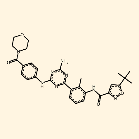 Cc1c(NC(=O)c2cc(C(C)(C)C)on2)cccc1-c1nc(N)nc(Nc2ccc(C(=O)N3CCOCC3)cc2)n1